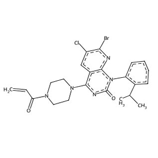 C=CC(=O)N1CCN(c2nc(=O)n(-c3ccccc3C(C)C)c3nc(Br)c(Cl)cc23)CC1